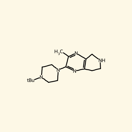 Cc1nc2c(nc1N1CCN(C(C)(C)C)CC1)CCNC2